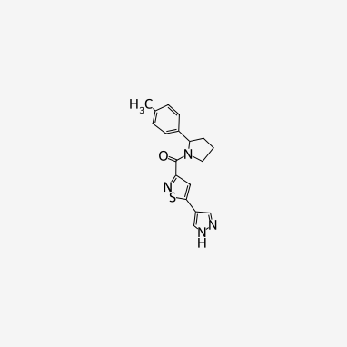 Cc1ccc(C2CCCN2C(=O)c2cc(-c3cn[nH]c3)sn2)cc1